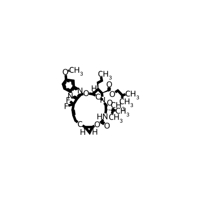 CCC[C@@H]1[C@@H]2CN(C(=O)[C@H](C(C)(C)C)NC(=O)O[C@@H]3C[C@H]3CC/C=C/C(F)(F)c3nc4ccc(OC)cc4nc3O2)[C@@H]1C(=O)OCC(C)C